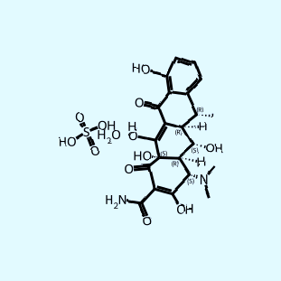 C[C@H]1c2cccc(O)c2C(=O)C2=C(O)[C@]3(O)C(=O)C(C(N)=O)=C(O)[C@@H](N(C)C)[C@@H]3[C@@H](O)[C@@H]21.O.O=S(=O)(O)O